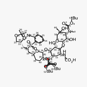 CN(C(=O)OC(C)(C)C)[C@@H]1[C@@H](O)[C@@H](O[C@@H]2[C@@H](O)[C@H](O[C@H]3O[C@H](CN(C[C@@H]4COC(C)(C)O4)S(=O)(=O)c4ccccc4[N+](=O)[O-])CC[C@H]3NC(=O)OC(C)(C)C)[C@@H](NC(=O)OC(C)(C)C)C[C@H]2NC(=O)O)OC[C@]1(C)O